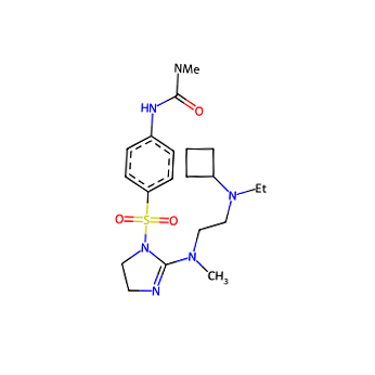 CCN(CCN(C)C1=NCCN1S(=O)(=O)c1ccc(NC(=O)NC)cc1)C1CCC1